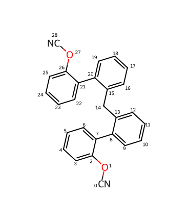 N#COc1ccccc1-c1ccccc1Cc1ccccc1-c1ccccc1OC#N